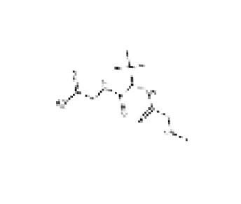 CNCC(=O)N[C@H](C(=O)NCC(N)=O)C(C)(C)C